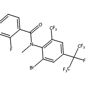 CN(C(=O)c1ccccc1F)c1c(Br)cc(C(F)(C(F)(F)F)C(F)(F)F)cc1C(F)(F)F